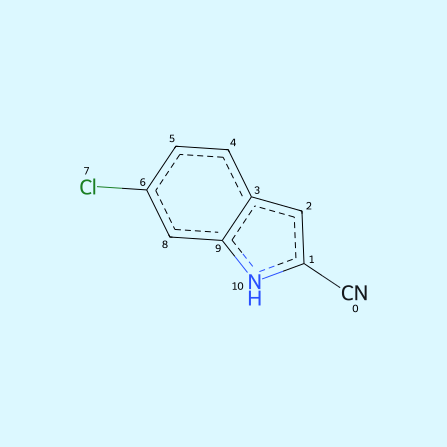 N#Cc1cc2ccc(Cl)cc2[nH]1